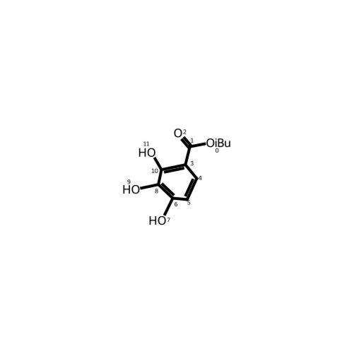 CC(C)COC(=O)c1ccc(O)c(O)c1O